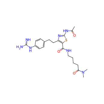 CC(=O)Nc1nc(CCc2ccc(NC(=N)N)cc2)c(C(=O)NCCCCC(=O)N(C)C)s1